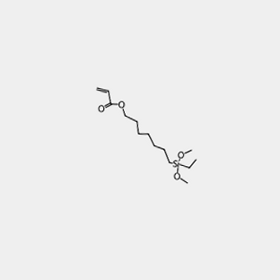 C=CC(=O)OCCCCCCC[Si](CC)(OC)OC